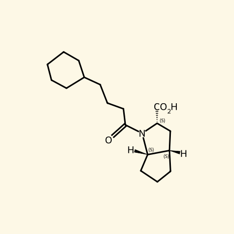 O=C(O)[C@@H]1C[C@@H]2CCC[C@@H]2N1C(=O)CCCC1CCCCC1